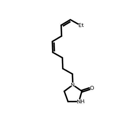 CC/C=C\C/C=C\CCCN1CCNC1=O